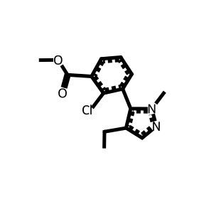 CCc1cnn(C)c1-c1cccc(C(=O)OC)c1Cl